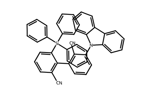 N#Cc1cccc([Si](c2ccccc2)(c2ccccc2)c2ccccc2)c1-c1cccc(-n2c3ccccc3c3ccccc32)c1C#N